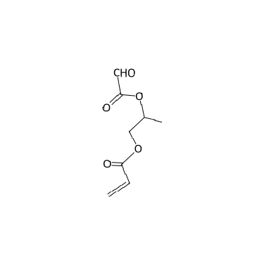 C=CC(=O)OCC(C)OC(=O)C=O